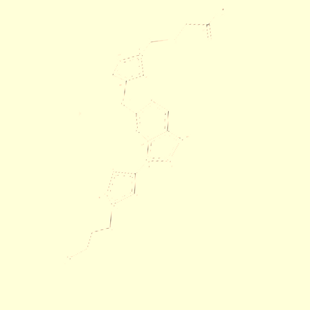 Cl.NCCCn1cc(-n2nnc3cnc(Nc4cnn(CCCC(=O)O)c4)nc32)cn1